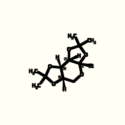 CC[C@@]12OC[C@H]3OC(C)(C)O[C@H]3[C@@H]1OC(C)(C)O2